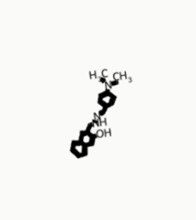 CCN(CC)c1ccc(/C=N/NCc2cc3ccccc3cc2O)cc1